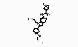 Cn1cc(C(=O)Nc2cc3c(cn2)cc(-c2ccnc(NCC(F)(F)F)n2)n3CCO)cn1